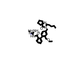 CCCCC1=NC2(CCCC2)C(=O)N1Cc1ccc(-c2ccccc2C(=O)N/C(N)=N/N)c(COCC)c1